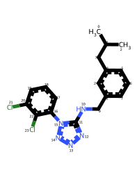 CC(C)Cc1cccc(CNc2nnnn2-c2cccc(Cl)c2Cl)c1